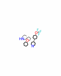 FC(F)(F)Oc1ccc(-c2ccncc2)c([C@@H]2CO[C@]3(CCCN[C@H]3c3ccccc3)C2)c1